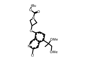 COCC(C)(OC)c1ccc(OC2CN(C(=O)OC(C)(C)C)C2)c2cnc(Cl)cc12